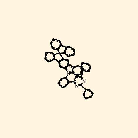 c1ccc(-c2cc(-c3ccccc3-n3c4ccccc4c4cc5c(cc43)-c3ccccc3C53c4ccccc4-c4ccccc43)nc(-c3ccccc3)n2)cc1